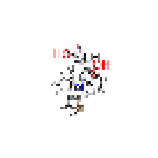 Cc1c(C(=O)O)cc(-c2ccccc2N(Cc2cccs2)CC2CCCC2)cc1C(=O)O